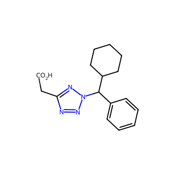 O=C(O)Cc1nnn(C(c2ccccc2)C2CCCCC2)n1